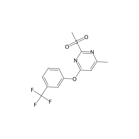 Cc1cc(Oc2cccc(C(F)(F)F)c2)nc(S(C)(=O)=O)n1